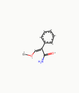 CCOC=C(C(N)=O)c1ccccc1